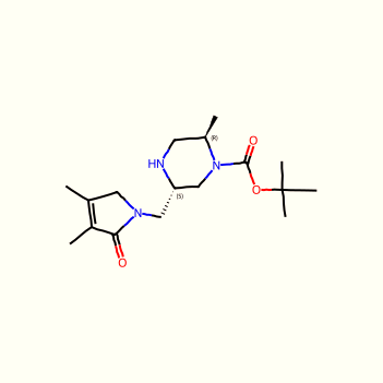 CC1=C(C)C(=O)N(C[C@H]2CN(C(=O)OC(C)(C)C)[C@H](C)CN2)C1